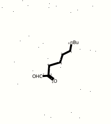 CCCCCCCCC(=O)C=O